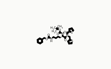 CN(C(=O)OC(C)(C)C)[C@@H](CCCCNC(=O)OCc1ccccc1)C(=O)N(Cc1cccs1)Cc1cccs1